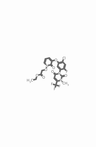 CCOC(=O)COn1cccc(Oc2cc(-n3c(=O)cc(C(F)(F)F)n(C)c3=O)c(F)cc2Cl)c1=O